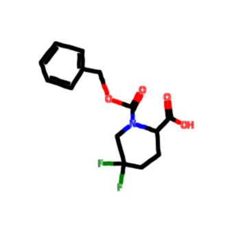 O=C(O)C1CCC(F)(F)CN1C(=O)OCc1ccccc1